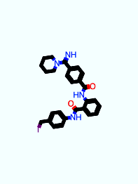 N=C(c1ccc(C(=O)Nc2ccccc2C(=O)Nc2ccc(CI)cc2)cc1)N1CCCCC1